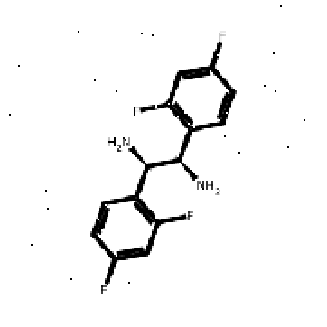 N[C@H](c1ccc(F)cc1F)[C@H](N)c1ccc(F)cc1F